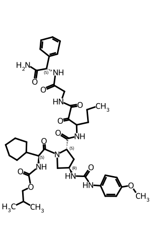 CCCC(NC(=O)[C@@H]1C[C@@H](NC(=O)Nc2ccc(OC)cc2)CN1C(=O)[C@@H](NC(=O)OCC(C)C)C1CCCCC1)C(=O)C(=O)NCC(=O)N[C@H](C(N)=O)c1ccccc1